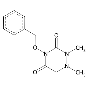 CN1CC(=O)N(OCc2ccccc2)C(=O)N1C